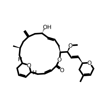 C=C1C[C@H](C)C[C@@H]2CC=C[C@@H](C/C=C\C(=O)O[C@H]([C@H](/C=C/[C@@H]3CC(C)=CCO3)OC)C/C=C/[C@@H](O)C1)O2